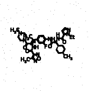 CCn1nccc1C(=O)N[C@H](C(=O)Nc1ccc([C@H](C)[C@@H](NC(=O)c2nonc2C)C(=O)N2CCN(C)CC2)cc1F)[C@H]1CC[C@H](C)CC1